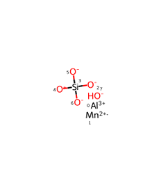 [Al+3].[Mn+2].[O-][Si]([O-])([O-])[O-].[OH-]